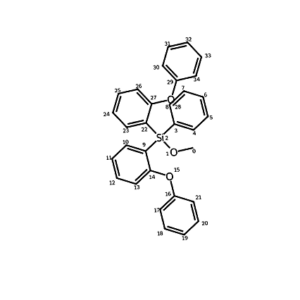 CO[Si](c1ccccc1)(c1ccccc1Oc1ccccc1)c1ccccc1Oc1ccccc1